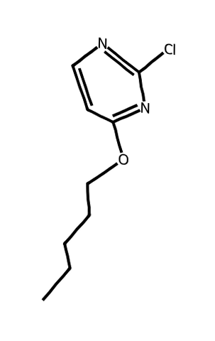 CCCCCOc1ccnc(Cl)n1